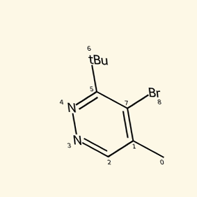 Cc1cnnc(C(C)(C)C)c1Br